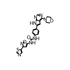 O=C(Nc1ccc(-c2cc3c(N4CCOCC4)ncnc3[nH]2)cc1)Nc1cc(-c2cncs2)no1